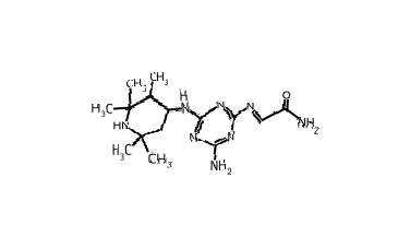 CC1C(Nc2nc(N)nc(/N=C/C(N)=O)n2)CC(C)(C)NC1(C)C